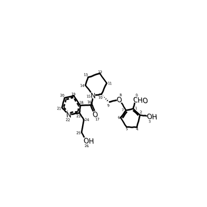 O=CC1=C(O)CCC=C1OC[C@H]1CCCCN1C(=O)c1cccnc1CCO